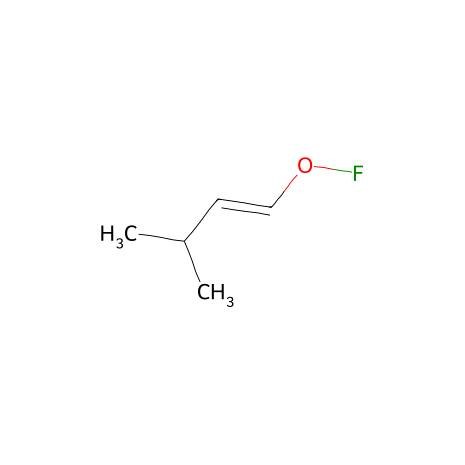 CC(C)C=COF